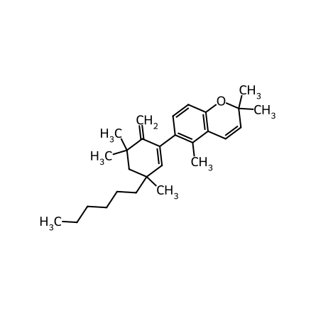 C=C1C(c2ccc3c(c2C)C=CC(C)(C)O3)=CC(C)(CCCCCC)CC1(C)C